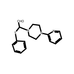 O=CC(Sc1cc[c]cc1)N1CCN(c2ccccn2)CC1